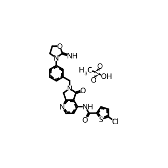 CS(=O)(=O)O.N=C1OCCN1c1cccc(CN2Cc3nccc(NC(=O)c4ccc(Cl)s4)c3C2=O)c1